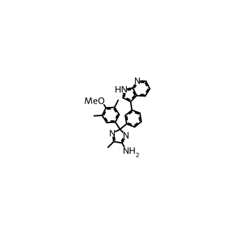 COc1c(C)cc(C2(c3cccc(-c4c[nH]c5ncccc45)c3)N=C(C)C(N)=N2)cc1C